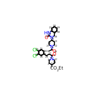 CCOC(=O)C1CCN(C(=O)[C@@H](CC(=O)N2CCC(N3Cc4ccccc4NC3=O)CC2)Cc2ccc(Cl)c(Cl)c2)CC1